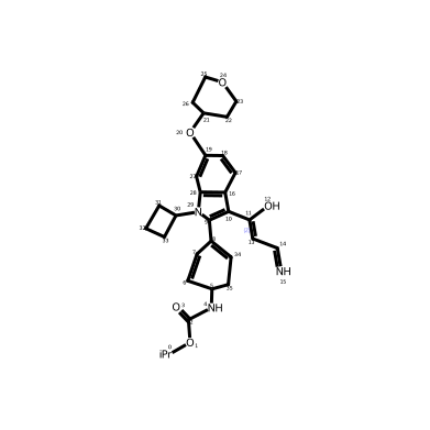 CC(C)OC(=O)NC1C=CC(c2c(/C(O)=C/C=N)c3ccc(OC4CCOCC4)cc3n2C2CCC2)=CC1